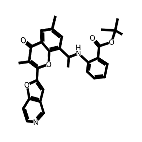 Cc1cc(C(C)Nc2ccccc2C(=O)OC(C)(C)C)c2oc(-c3cc4cnccc4o3)c(C)c(=O)c2c1